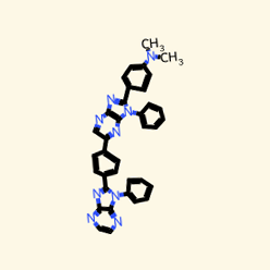 CN(C)c1ccc(-c2nc3ncc(-c4ccc(-c5nc6nccnc6n5-c5ccccc5)cc4)nc3n2-c2ccccc2)cc1